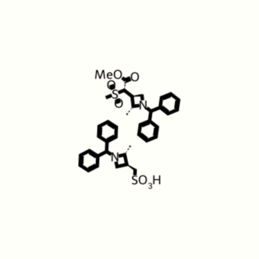 COC(=O)[C@H]([C@H]1CN(C(c2ccccc2)c2ccccc2)[C@@H]1C)S(C)(=O)=O.C[C@@H]1[C@@H](CS(=O)(=O)O)CN1C(c1ccccc1)c1ccccc1